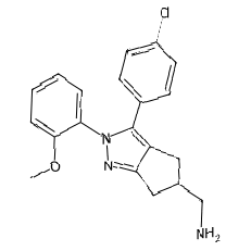 COc1ccccc1-n1nc2c(c1-c1ccc(Cl)cc1)CC(CN)C2